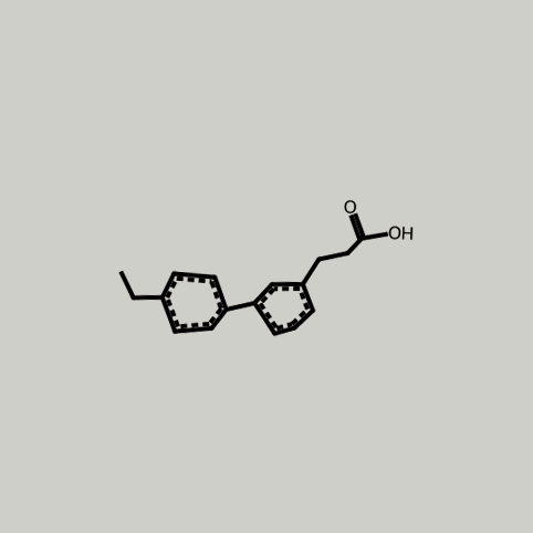 CCc1ccc(-c2cccc(CCC(=O)O)c2)cc1